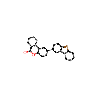 O=c1oc2ccc(-c3ccc4sc5ccccc5c4c3)cc2c2ccccc12